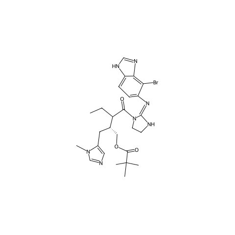 CCC(C(=O)N1CCN/C1=N/c1ccc2[nH]cnc2c1Br)[C@H](COC(=O)C(C)(C)C)Cc1cncn1C